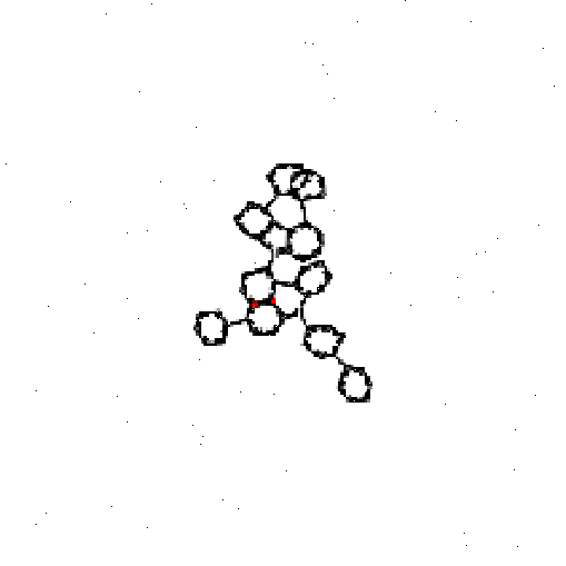 c1ccc(-c2ccc(N(c3ccc(-c4ccccc4)cc3)c3ccccc3-c3ccccc3-n3c4cccc(-c5ccccc5)c4c4c(-c5ccccc5)cccc43)cc2)cc1